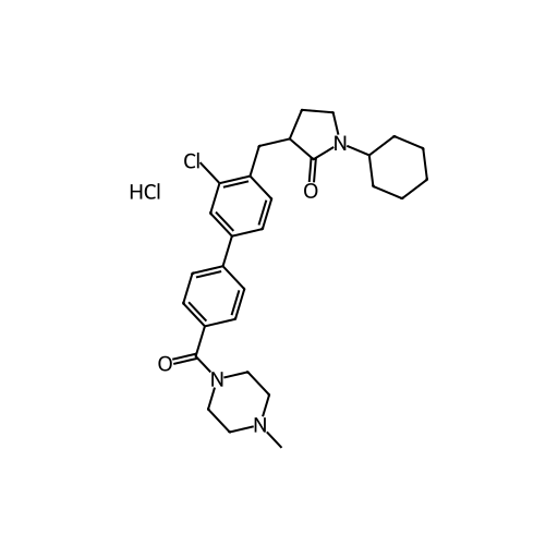 CN1CCN(C(=O)c2ccc(-c3ccc(CC4CCN(C5CCCCC5)C4=O)c(Cl)c3)cc2)CC1.Cl